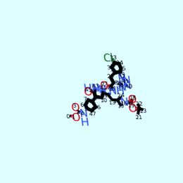 COC(=O)Nc1ccc(-c2cc(C(CC3CN(C(=O)OC(C)(C)C)C3)NC(=O)C=Cc3cc(Cl)ccc3-n3cnnn3)n[nH]c2=O)cc1